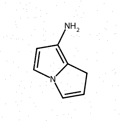 Nc1ccn2c1CC=C2